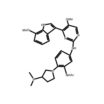 COc1cnc(Nc2ccc(N3CCC(N(C)C)C3)c(NC(C)=O)c2)nc1-c1c[nH]c2c(OC)cccc12